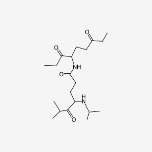 CCC(=O)CCC(NC(=O)CCC(NC(C)C)C(=O)C(C)C)C(=O)CC